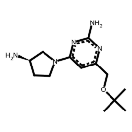 CC(C)(C)OCc1cc(N2CC[C@@H](N)C2)nc(N)n1